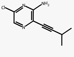 CC(C)C#Cc1ncc(Cl)nc1N